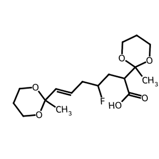 CC1(C=CCC(F)CC(C(=O)O)C2(C)OCCCO2)OCCCO1